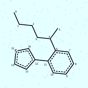 CCCCC(C)c1ccccc1-c1ccsc1